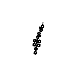 CC1(C)c2cc(F)ccc2-c2ccc(-c3ccc4c(c3)C(C)(C)c3cc(-c5c6ccccc6c(-c6c7ccccc7c(-c7ccc(-c8ccccc8)cc7)c7ccccc67)c6ccccc56)ccc3-4)cc21